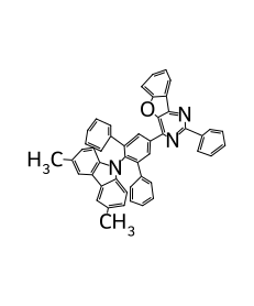 Cc1ccc2c(c1)c1cc(C)ccc1n2-c1c(-c2ccccc2)cc(-c2nc(-c3ccccc3)nc3c2oc2ccccc23)cc1-c1ccccc1